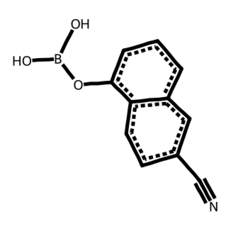 N#Cc1ccc2c(OB(O)O)cccc2c1